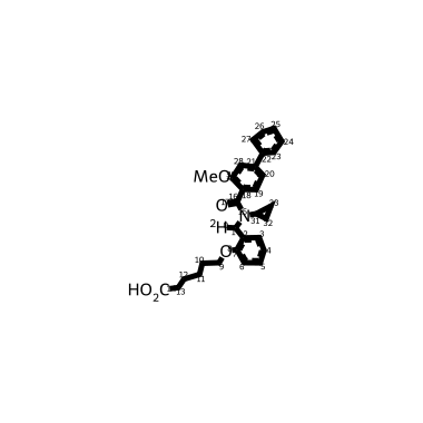 [2H]C(c1ccccc1OCCCCCC(=O)O)N(C(=O)c1ccc(-c2ccccc2)cc1OC)C1CC1